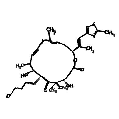 C/C1=C/C[C@@H](/C(C)=C/c2csc(C)n2)OC(=O)C[C@H](O)C(C)(C)C(=O)[C@H](CCCCCl)[C@@H](O)[C@@H](C)/C=C/C1